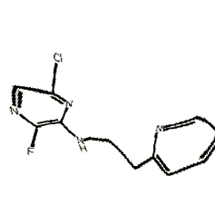 Fc1ncc(Cl)nc1NCCc1ccccn1